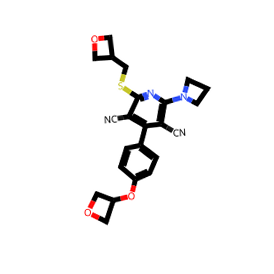 N#Cc1c(SCC2COC2)nc(N2CCC2)c(C#N)c1-c1ccc(OC2COC2)cc1